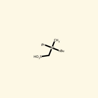 CCCC[N+](C)(CS(=O)(=O)O)C(C)C